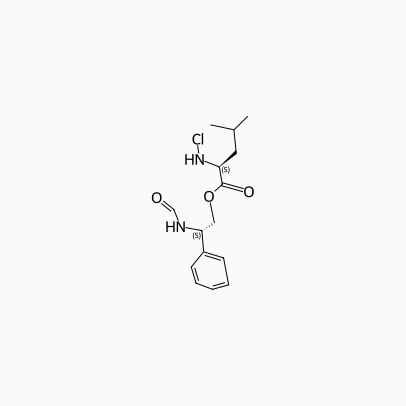 CC(C)C[C@H](NCl)C(=O)OC[C@@H](NC=O)c1ccccc1